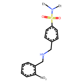 CCN(CC)S(=O)(=O)c1ccc(CNCc2ccccc2[N+](=O)[O-])cc1